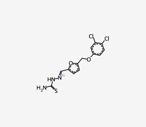 NC(=S)N/N=C/c1ccc(COc2ccc(Cl)c(Cl)c2)o1